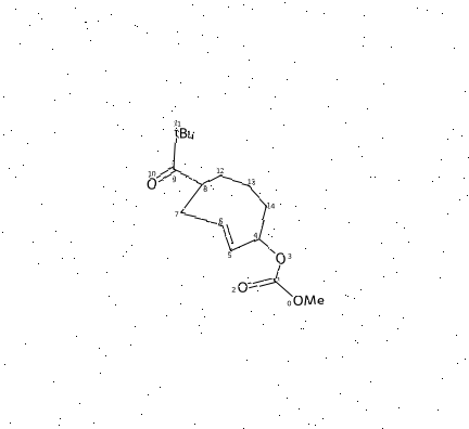 COC(=O)OC1/C=C/CC(C(=O)C(C)(C)C)CCC1